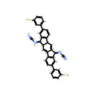 N#C/N=C1/C2=CC3c4ccc(-c5cccc(F)c5)cc4/C(=N\C#N)C3C=C2c2ccc(-c3cccc(F)c3)cc21